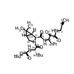 C#CCNC(=O)C(=O)C(CCC)NC(=O)[C@@H]1[C@@H]2[C@H](CN1C(=O)[C@@H](NC(=O)OC(C)(C)C)C(C)(C)C)C2(C)C